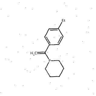 C=C(c1ccc(CC)cc1)P1CCCCC1